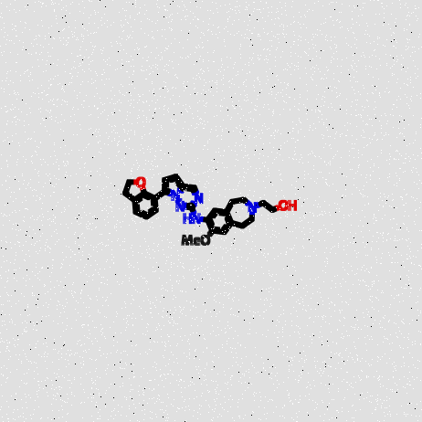 COc1cc2c(cc1Nc1ncc3ccc(-c4cccc5c4OCC5)n3n1)CCN(CCO)CC2